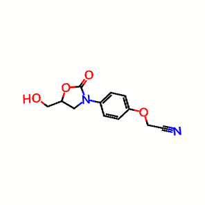 N#CCOc1ccc(N2CC(CO)OC2=O)cc1